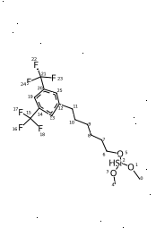 CO[SiH](OC)OCCCCCCc1cc(C(F)(F)F)cc(C(F)(F)F)c1